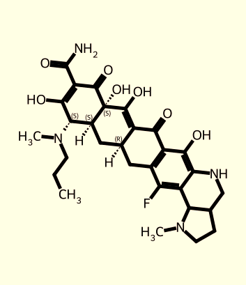 CCCN(C)[C@@H]1C(O)=C(C(N)=O)C(=O)[C@@]2(O)C(O)=C3C(=O)c4c(O)c5c(c(F)c4C[C@H]3C[C@@H]12)C1C(CCN1C)CN5